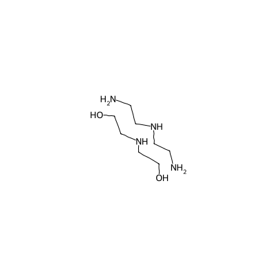 NCCNCCN.OCCNCCO